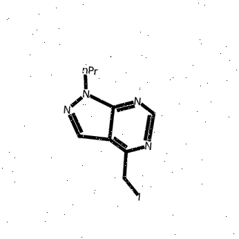 CCCn1ncc2c(CI)ncnc21